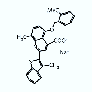 COc1ccccc1COc1ccc(C)c2nc(-c3sc4ccccc4c3C)cc(C(=O)[O-])c12.[Na+]